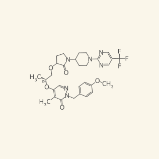 COc1ccc(Cn2ncc(O[C@@H](C)COC3CCN(C4CCN(c5ncc(C(F)(F)F)cn5)CC4)C3=O)c(C)c2=O)cc1